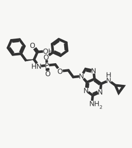 Nc1nc(NC2CC2)c2ncn(CCOCP(=O)(N[C@@H](Cc3ccccc3)C(=O)O)Oc3ccccc3)c2n1